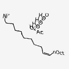 CC(=O)[O-].CCCCCCCC/C=C\CCCCCCC[CH2][Ni+].O.O.O.O